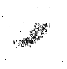 CC(=O)N(Cc1ccccc1-c1ccc(CN2C(=O)[C@H](NC(=O)CC(C)(C)N)CCc3cc(F)ccc32)cc1)c1c[nH]cn1